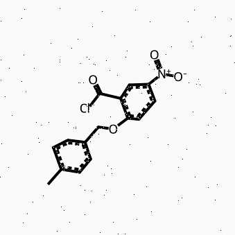 Cc1ccc(COc2ccc([N+](=O)[O-])cc2C(=O)Cl)cc1